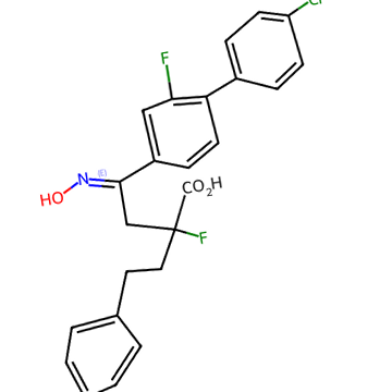 O=C(O)C(F)(CCc1ccccc1)C/C(=N\O)c1ccc(-c2ccc(Cl)cc2)c(F)c1